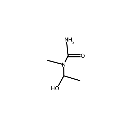 CC(O)N(C)C(N)=O